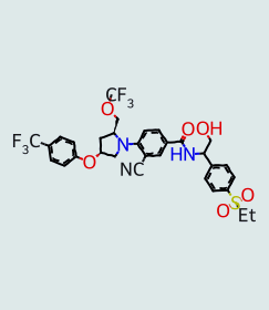 CCS(=O)(=O)c1ccc(C(CO)NC(=O)c2ccc(N3C[C@@H](Oc4ccc(C(F)(F)F)cc4)C[C@H]3COC(F)(F)F)c(C#N)c2)cc1